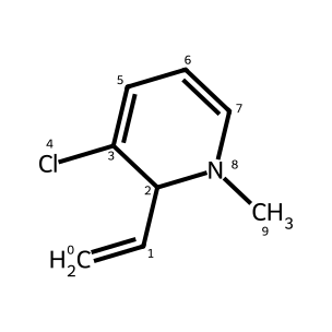 C=CC1C(Cl)=CC=CN1C